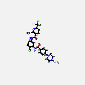 Cc1nc(C(F)(F)F)ccc1C(=O)Nc1ccc(Cl)c(NC(=O)c2ccc(N3CCN(C)CC3)cc2)c1